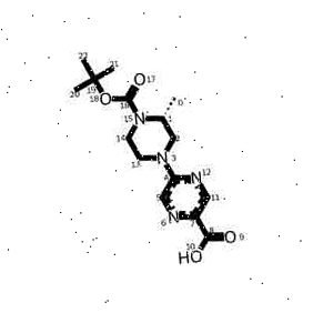 C[C@@H]1CN(c2cnc(C(=O)O)cn2)CCN1C(=O)OC(C)(C)C